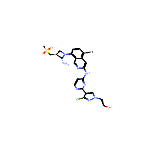 CC(C)c1ccc(N2C[C@H](CS(C)(=O)=O)[C@H]2N)c2cnc(Nc3ccnc(-c4cn(CCO)nc4Cl)n3)cc12